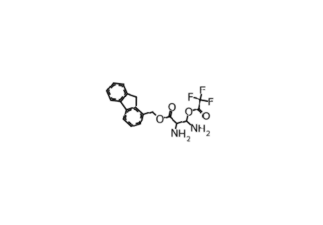 NC(OC(=O)C(F)(F)F)C(N)C(=O)OCc1cccc2c1Cc1ccccc1-2